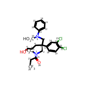 CN(C[C@@](CCCO)(CN(C(=O)O)c1ccccc1)c1ccc(Cl)c(Cl)c1)C(=O)CC(F)(F)F